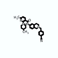 Cc1ccc(C(=O)Nc2ccc3c(c2)CCN(Cc2ccc(C#N)cc2)C3)c(N2CCC(C)CC2)n1